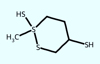 CS1(S)CCC(S)CS1